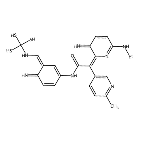 CCNC1=N/C(=C(/C(=O)NC2=C/C(=C/NC(S)(S)S)C(=N)C=C2)c2ccc(C)nc2)C(=N)C=C1